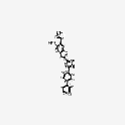 C/N=C/C(=C/c1ccc(-c2nnc(-c3ccc(-c4ccccc4)cc3)o2)s1)C(=O)O